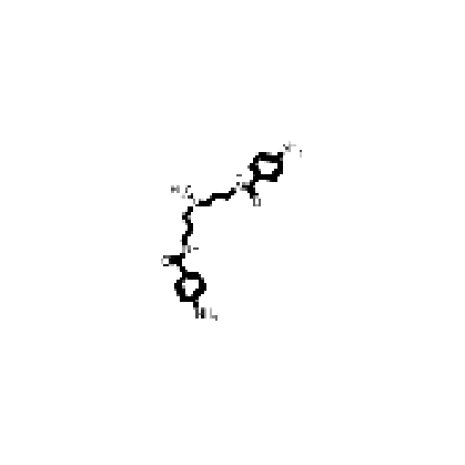 CN(CCCNC(=O)c1ccc(N)cc1)CCCNC(=O)c1ccc(N)cc1